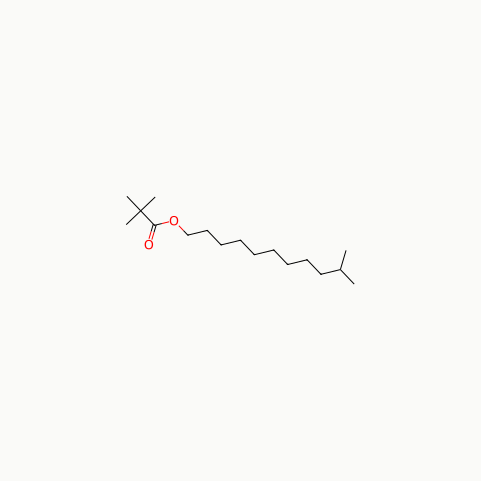 CC(C)CCCCCCCCCOC(=O)C(C)(C)C